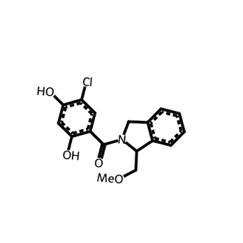 COCC1c2ccccc2CN1C(=O)c1cc(Cl)c(O)cc1O